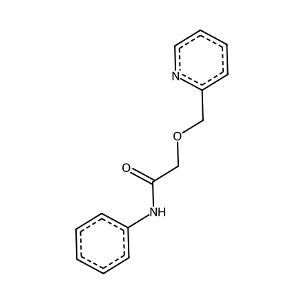 O=C(COCc1ccccn1)Nc1ccccc1